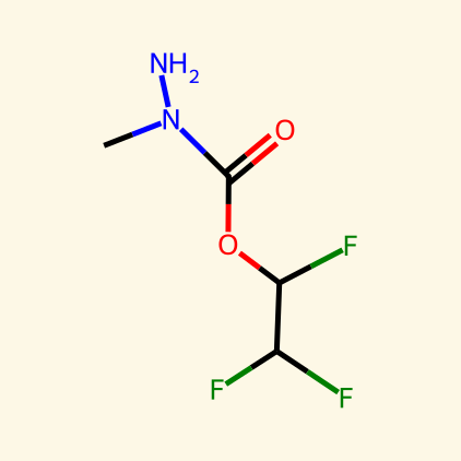 CN(N)C(=O)OC(F)C(F)F